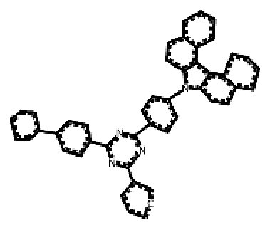 c1ccc(-c2ccc(-c3nc(-c4ccccc4)nc(-c4ccc(-n5c6ccc7ccccc7c6c6c7ccccc7ccc65)cc4)n3)cc2)cc1